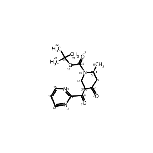 C[C@H]1CC(=O)[C@@H](C(=O)c2ncccn2)CN1C(=O)OC(C)(C)C